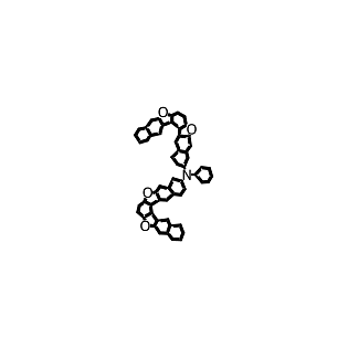 c1ccc(N(c2ccc3cc4c(cc3c2)oc2ccc3oc5cc6ccccc6cc5c3c24)c2ccc3cc4c(cc3c2)oc2ccc3oc5cc6ccccc6cc5c3c24)cc1